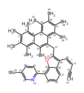 Bc1c(B)c(B)c2c(c1B)c(B)c(Cc1oc3c(-c4ccc(C(C)(C)C)cn4)cccc3c1/C=C\C#C)c1c(B)c(B)c(B)c(B)c12